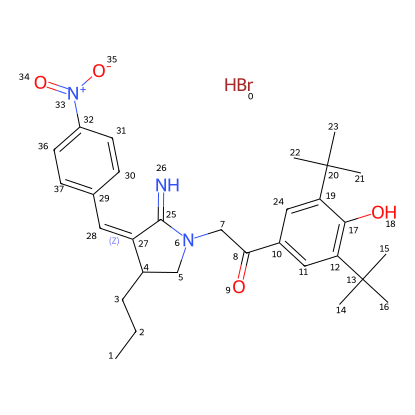 Br.CCCC1CN(CC(=O)c2cc(C(C)(C)C)c(O)c(C(C)(C)C)c2)C(=N)/C1=C\c1ccc([N+](=O)[O-])cc1